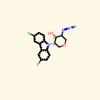 [N-]=[N+]=NC1COC[C@H](n2c3ccc(F)cc3c3cc(F)ccc32)[C@H]1O